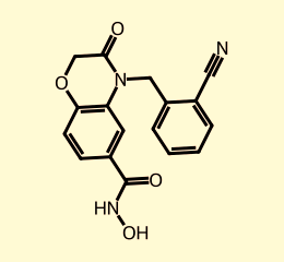 N#Cc1ccccc1CN1C(=O)COc2ccc(C(=O)NO)cc21